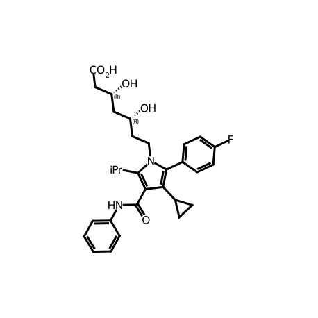 CC(C)c1c(C(=O)Nc2ccccc2)c(C2CC2)c(-c2ccc(F)cc2)n1CC[C@@H](O)C[C@@H](O)CC(=O)O